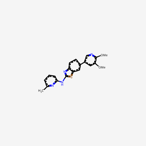 COc1cc(-c2ccc3nc(Nc4cccc(C)n4)sc3c2)cnc1OC